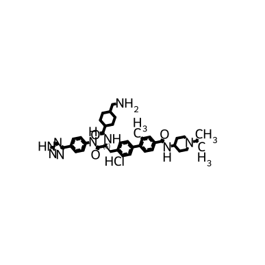 Cc1cc(C(=O)NC2CCN(C(C)C)CC2)ccc1-c1ccc(C[C@H](NC(=O)C2CCC(CN)CC2)C(=O)Nc2ccc(-c3nn[nH]n3)cc2)cc1.Cl